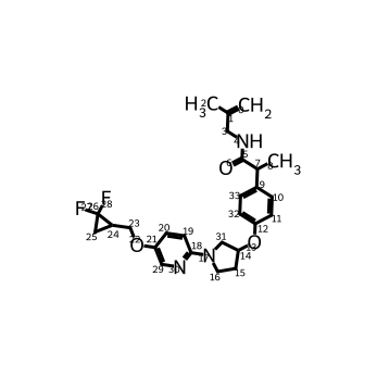 C=C(C)CNC(=O)C(C)c1ccc(OC2CCN(c3ccc(OCC4CC4(F)F)cn3)C2)cc1